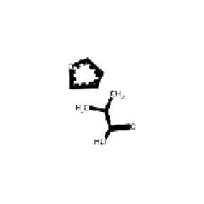 CC(C)C(=O)O.c1ccoc1